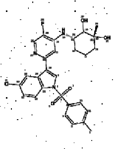 Cc1ccc(S(=O)(=O)n2cc(-c3cc(N[C@H]4CCC[C@@](C)(O)C4O)c(F)cn3)c3cc(Cl)ccc32)cc1